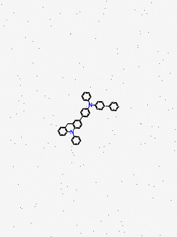 c1ccc(-c2ccc(N(c3ccccc3)c3ccc(-c4ccc5c(c4)Cc4ccccc4N5c4ccccc4)cc3)cc2)cc1